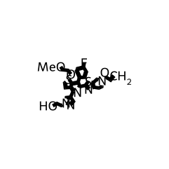 C=CC(=O)N1CCc2nc(-c3nc(-c4cnn(CCO)c4)c4ccsc4c3-c3ccc(F)cc3OCCOC)sc2C1